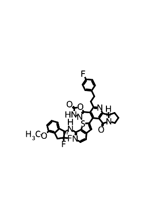 COc1cccc2c1CC(F)(F)[C@@H]2Nc1nccc2cc(-c3c4c(nc(CCc5ccc(F)cc5)c3-c3n[nH]c(=O)o3)[C@@H]3CCCN3C4=O)sc12